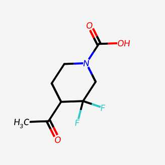 CC(=O)C1CCN(C(=O)O)CC1(F)F